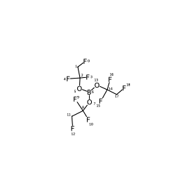 FCC(F)(F)OB(OC(F)(F)CF)OC(F)(F)CF